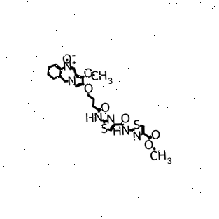 CCOC(=O)c1csc(NC(=O)c2csc(NC(=O)CCCOc3cn4c(c3OC)C=[N+]([O-])C3=CCCCC3C4)n2)n1